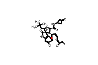 C=C(/C=C\C=C(\Cl)CF)[C@H]1[C@H](C(=O)NC2CC(=O)C2)N[C@H](CC(C)(C)C)[C@]12C(=O)Nc1cc(Cl)ccc12